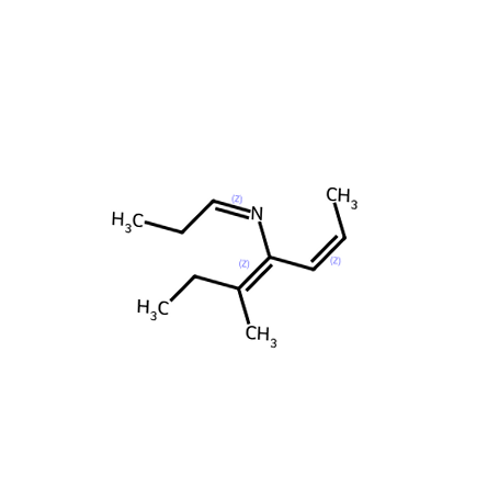 C\C=C/C(/N=C\CC)=C(\C)CC